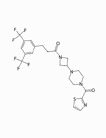 O=C(CCc1cc(C(F)(F)F)cc(C(F)(F)F)c1)N1CC(N2CCN(C(=O)c3nccs3)CC2)C1